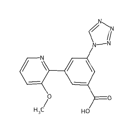 COc1cccnc1-c1cc(C(=O)O)cc(-n2cnnn2)c1